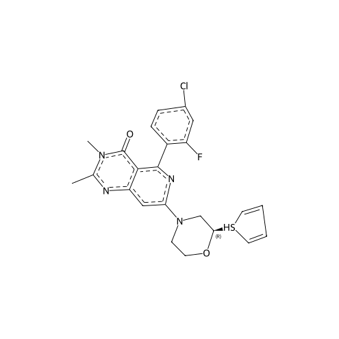 Cc1nc2cc(N3CCO[C@H]([SH]4C=CC=C4)C3)nc(-c3ccc(Cl)cc3F)c2c(=O)n1C